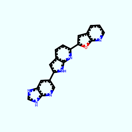 c1cnc2oc(-c3ccc4cc(-c5cnc6[nH]cnc6c5)[nH]c4n3)cc2c1